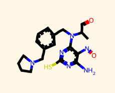 CC(C=O)N(Cc1cccc(CN2CCCC2)c1)c1nc(S)nc(N)c1N=O